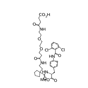 COC(=O)[C@H](Cc1ccc(NC(=O)c2c(Cl)cccc2Cl)cc1)NC(=O)C1(CCNC(=O)CCOCCOCCNC(=O)CCC(=O)O)CCCC1